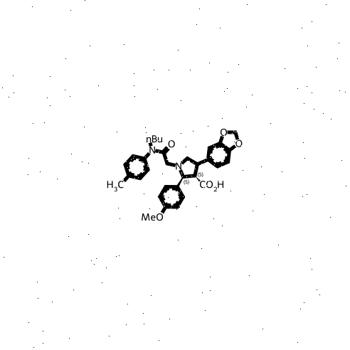 CCCCN(C(=O)CN1CC(c2ccc3c(c2)OCO3)[C@H](C(=O)O)[C@H]1c1ccc(OC)cc1)c1ccc(C)cc1